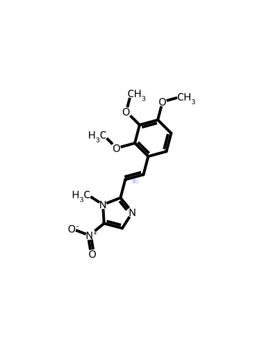 COc1ccc(/C=C/c2ncc([N+](=O)[O-])n2C)c(OC)c1OC